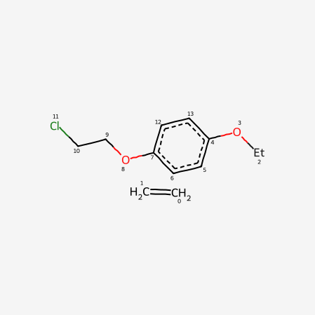 C=C.CCOc1ccc(OCCCl)cc1